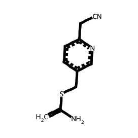 C=C(N)SCc1ccc(CC#N)nc1